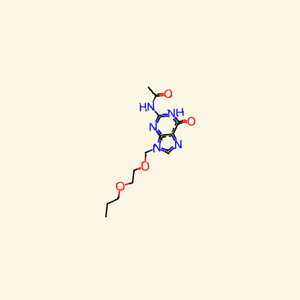 CCCOCCOCn1cnc2c(=O)[nH]c(NC(C)=O)nc21